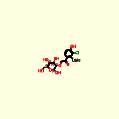 COc1c(C(=O)CO[C@@H]2[C@@H](O)[C@H](O)[C@@H](CO)O[C@@H]2O)ccc(O)c1Cl